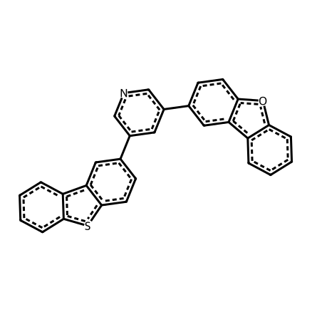 c1ccc2c(c1)oc1ccc(-c3cncc(-c4ccc5sc6ccccc6c5c4)c3)cc12